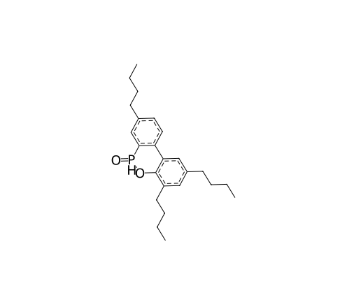 CCCCc1cc(CCCC)c2c(c1)-c1ccc(CCCC)cc1[PH](=O)O2